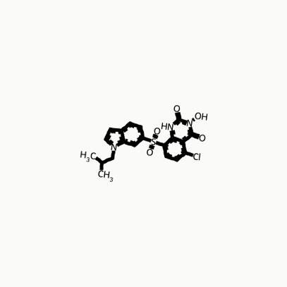 CC(C)Cn1ccc2ccc(S(=O)(=O)c3ccc(Cl)c4c(=O)n(O)c(=O)[nH]c34)cc21